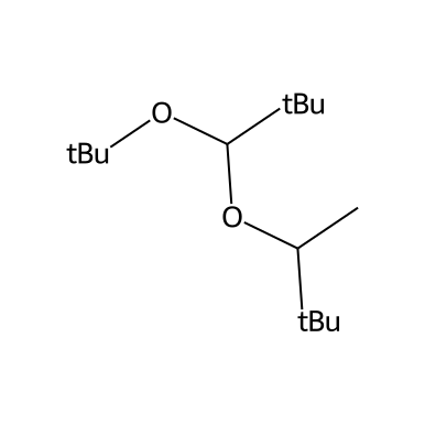 CC(OC(OC(C)(C)C)C(C)(C)C)C(C)(C)C